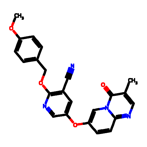 COc1ccc(COc2ncc(Oc3ccc4ncc(C)c(=O)n4c3)cc2C#N)cc1